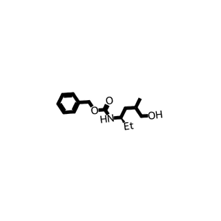 CC[C@H](CC(C)CO)NC(=O)OCc1ccccc1